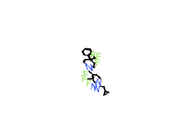 FC(F)(F)c1c(CN2CCC(c3ccccc3)(C(F)(F)F)CC2)ccn2c(CC3CC3)nnc12